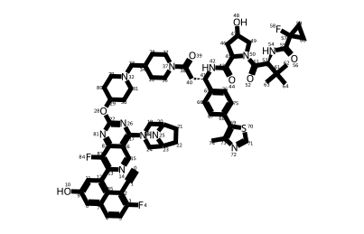 C#Cc1c(F)ccc2cc(O)cc(-c3ncc4c(N5CC6CCC(C5)N6)nc(OC5CCN(CC6CCN(C(=O)C[C@H](NC(=O)C7CC(O)CN7C(=O)[C@@H](NC(=O)C7(F)CC7)C(C)(C)C)c7ccc(-c8scnc8C)cc7)CC6)CC5)nc4c3F)c12